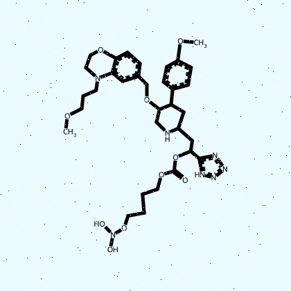 COCCCN1CCOc2ccc(COC3CNC(CC(OC(=O)OCCCCON(O)O)c4nnn[nH]4)CC3c3ccc(OC)cc3)cc21